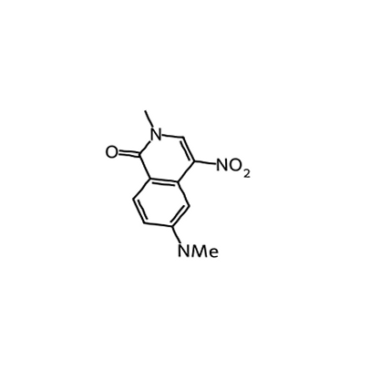 CNc1ccc2c(=O)n(C)cc([N+](=O)[O-])c2c1